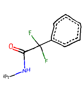 CC(C)NC(=O)C(F)(F)c1ccccc1